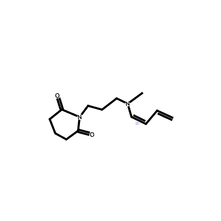 C=C/C=C\N(C)CCCN1C(=O)CCCC1=O